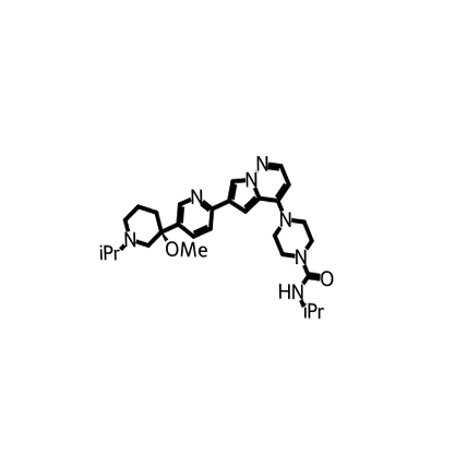 CO[C@]1(c2ccc(-c3cc4c(N5CCN(C(=O)NC(C)C)CC5)ccnn4c3)nc2)CCCN(C(C)C)C1